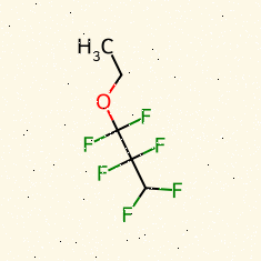 CCOC(F)(F)C(F)(F)C(F)F